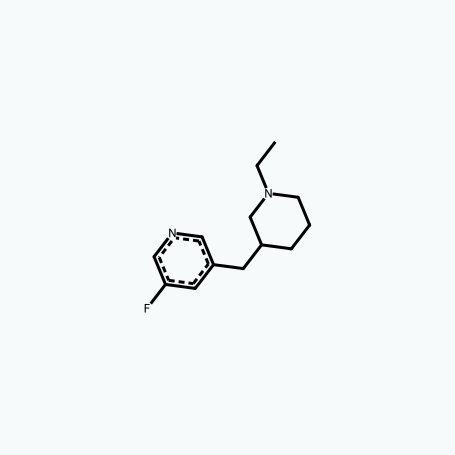 CCN1CCCC(Cc2cncc(F)c2)C1